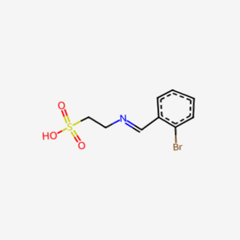 O=S(=O)(O)CCN=Cc1ccccc1Br